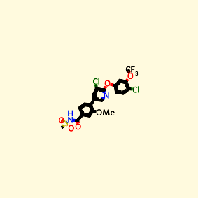 COc1cc(C(=O)NS(C)(=O)=O)ccc1-c1cnc(Oc2ccc(Cl)c(OC(F)(F)F)c2)c(Cl)c1